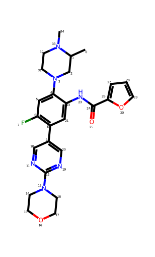 CC1CN(c2cc(F)c(-c3cnc(N4CCOCC4)nc3)cc2NC(=O)c2ccco2)CCN1C